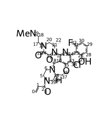 C=CC(=O)N1CCN2C(=O)c3c(N4CC(=O)N(CCNC)C[C@@H]4C)nc(-c4c(O)cccc4F)c(Cl)c3OC[C@H]2C1